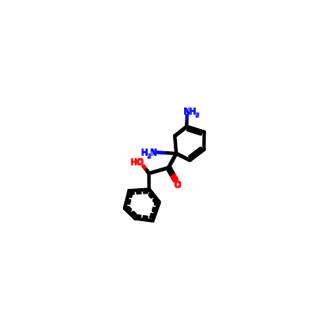 NC1=CC=CC(N)(C(=O)C(O)c2ccccc2)C1